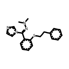 CN(C)/N=C(/c1ccccc1SCCc1ccccc1)n1ccnc1